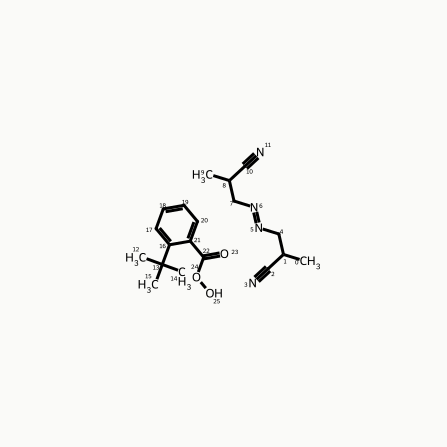 CC(C#N)CN=NCC(C)C#N.CC(C)(C)c1ccccc1C(=O)OO